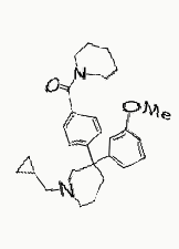 COc1cccc(C2(c3ccc(C(=O)N4CCCCC4)cc3)CCCN(CC3CC3)C2)c1